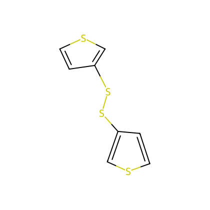 c1cc(SSc2ccsc2)cs1